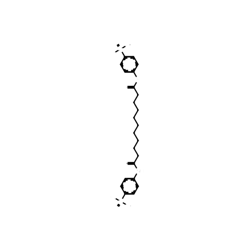 O=C(CCCCCCCCCC(=O)Nc1ccc(P(=O)(O)O)cc1)Nc1ccc(P(=O)(O)O)cc1